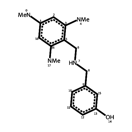 CNc1cc(NC)c(CNCc2cccc(O)c2)c(NC)c1